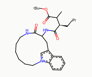 CC(C)C[C@@H](C(=O)NC1Cc2cn(c3ccccc23)CCCCCCNC1=O)C(C)C(=O)OC(C)(C)C